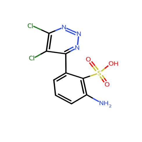 Nc1cccc(-c2nnnc(Cl)c2Cl)c1S(=O)(=O)O